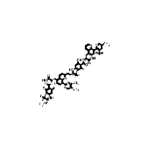 CC[C@@H](Nc1cc(F)c(C(=O)N[C@@H](Cc2ccc(-c3ncc(C)c(C)n3)c3nc(CC[C@@H](Nc4cc(F)c(C(=O)N[C@@H](Cc5ccc(-c6ncc(C)cc6C(F)(F)F)c6ncccc56)C(=O)O)c(F)c4)C(F)(F)F)ccc23)C(=O)O)c(F)c1)C(F)(F)F